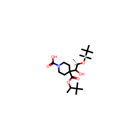 CC(OC(=O)C1(C(O)[C@H](C)O[Si](C)(C)C(C)(C)C)CCN(C(=O)O)CC1)C(C)(C)C